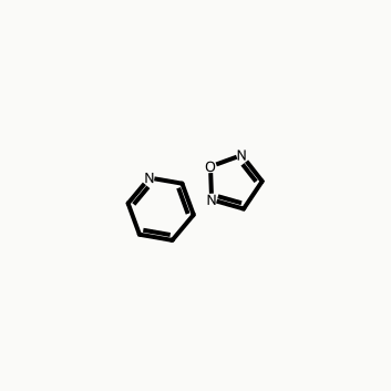 c1ccncc1.c1cnon1